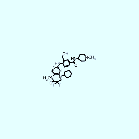 CN1CCC(NC(=O)c2ccc(Nc3ncc4c(n3)N(C3CCCCC3)CC(F)(F)C(=O)N4C)c(CO)c2)CC1